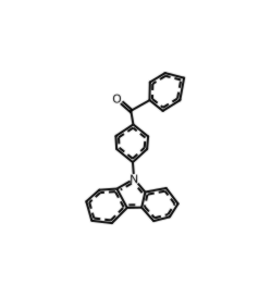 O=C(c1ccccc1)c1ccc(-n2c3ccccc3c3ccccc32)cc1